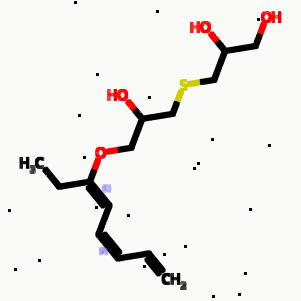 C=C/C=C\C=C(/CC)OCC(O)CSCC(O)CO